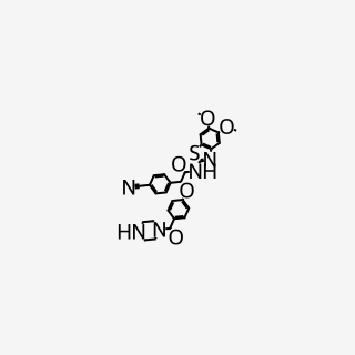 COc1cc2nc(NC(=O)C(Oc3ccc(C(=O)N4CCNCC4)cc3)c3ccc(C#N)cc3)sc2cc1OC